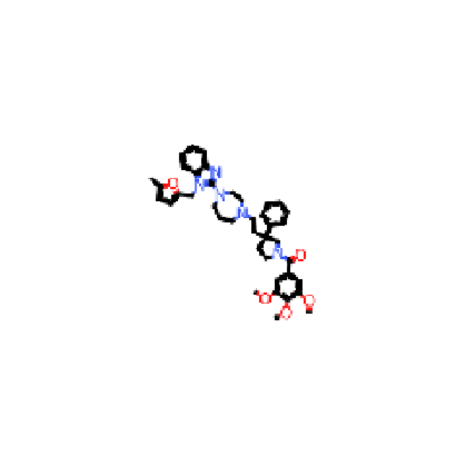 COc1cc(C(=O)N2CCC(CCN3CCCN(c4nc5ccccc5n4Cc4ccc(C)o4)CC3)(c3ccccc3)C2)cc(OC)c1OC